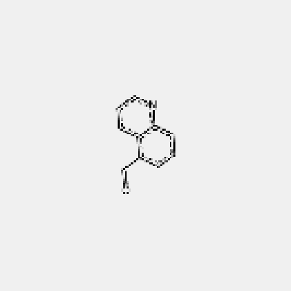 O=Cc1cccc2ncc[c]c12